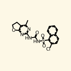 Cc1nc(NC(=O)NS(=O)(=O)c2c(Cl)ccc3ccccc23)nc2c1CCO2